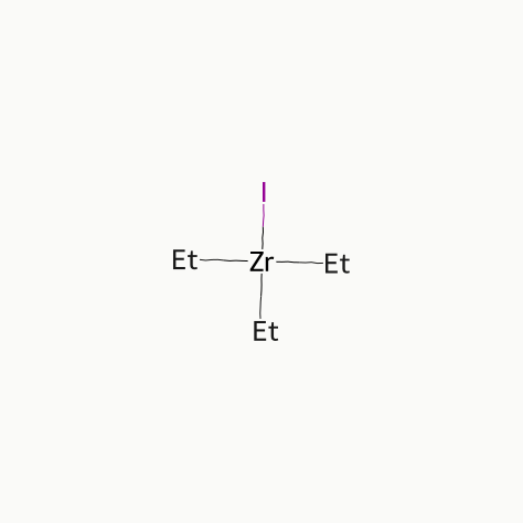 C[CH2][Zr]([I])([CH2]C)[CH2]C